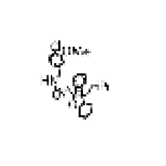 COc1cc(CNC2CCN2NC(=O)C(CCC(C)C)(c2ccccc2)c2ccccc2)ccc1Cl